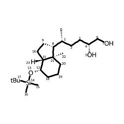 C[C@H](CC[C@@H](O)CO)[C@H]1CC[C@H]2[C@@H](O[Si](C)(C)C(C)(C)C)CCC[C@]12C